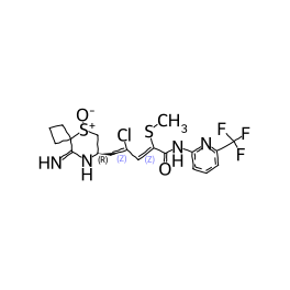 CS/C(=C\C(Cl)=C\[C@@H]1C[S+]([O-])C2(CCC2)C(=N)N1)C(=O)Nc1cccc(C(F)(F)F)n1